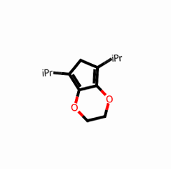 CC(C)C1=C2OCCOC2=C(C(C)C)C1